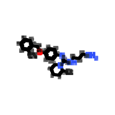 CCC1CCCCN1/C(=N\c1ccc(OCc2ccccc2C#N)cc1)NCCCN